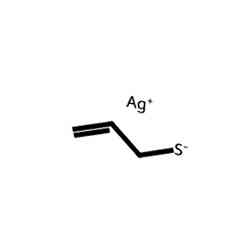 C=CC[S-].[Ag+]